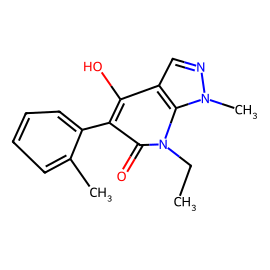 CCn1c(=O)c(-c2ccccc2C)c(O)c2cnn(C)c21